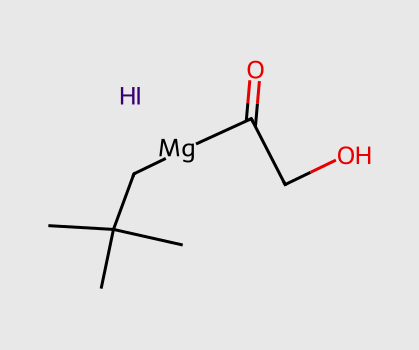 CC(C)(C)[CH2][Mg][C](=O)CO.I